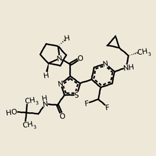 C[C@H](Nc1cc(C(F)F)c(-c2sc(C(=O)NCC(C)(C)O)nc2C(=O)N2[C@H]3CC[C@H]2CC3)cn1)C1CC1